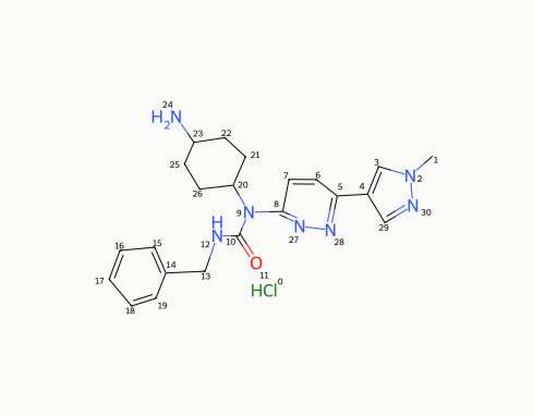 Cl.Cn1cc(-c2ccc(N(C(=O)NCc3ccccc3)C3CCC(N)CC3)nn2)cn1